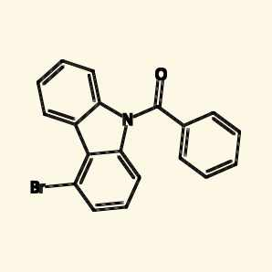 O=C(c1ccccc1)n1c2ccccc2c2c(Br)cccc21